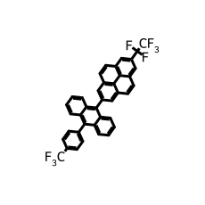 FC(F)(F)c1ccc(-c2c3ccccc3c(-c3cc4ccc5cc(C(F)(F)C(F)(F)F)cc6ccc(c3)c4c56)c3ccccc23)cc1